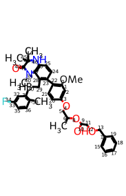 COc1cc(OCC(C)OC(O)COCc2ccccc2)ccc1-c1ccc2c(c1CBc1cc(F)ccc1C)N(C)C(=O)C(C)(C)N2